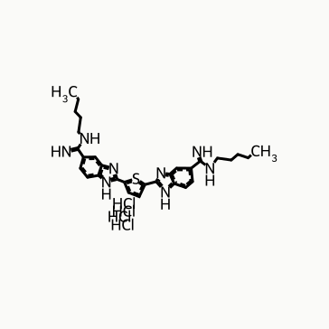 CCCCCNC(=N)c1ccc2[nH]c(-c3ccc(-c4nc5cc(C(=N)NCCCCC)ccc5[nH]4)s3)nc2c1.Cl.Cl.Cl.Cl